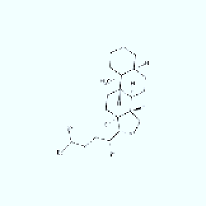 CCC(CC[C@@H](C)[C@H]1CC[C@H]2[C@@H]3CC[C@@H]4CCCC[C@]4(C)[C@H]3CC[C@]12C)C(C)C